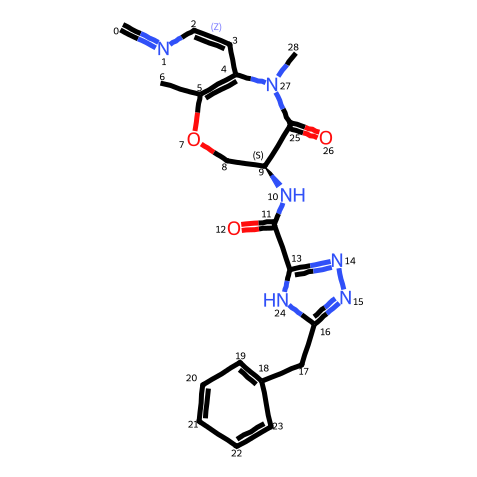 C=N/C=C\C1=C(C)OC[C@H](NC(=O)c2nnc(Cc3ccccc3)[nH]2)C(=O)N1C